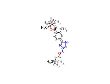 Cc1cc(-c2ncn(COCC[Si](C)(C)C)n2)ccc1B1OC(C)(C)C(C)(C)O1